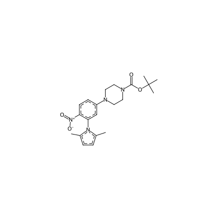 Cc1ccc(C)n1-c1cc(N2CCN(C(=O)OC(C)(C)C)CC2)ccc1[N+](=O)[O-]